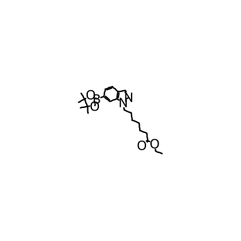 CCOC(=O)CCCCCCn1ncc2ccc(B3OC(C)(C)C(C)(C)O3)cc21